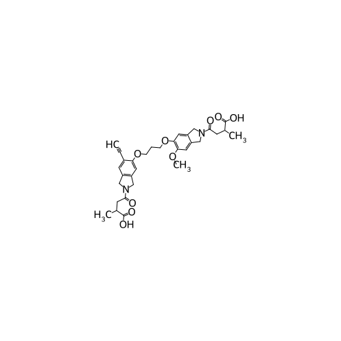 C#Cc1cc2c(cc1OCCCOc1cc3c(cc1OC)CN(C(=O)CC(C)C(=O)O)C3)CN(C(=O)CC(C)C(=O)O)C2